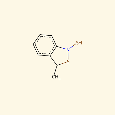 CC1SN(S)c2ccccc21